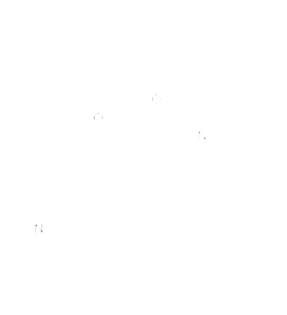 O=C(CC(=O)N1CCCC1)c1ccncc1